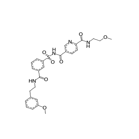 COCCNC(=O)c1ccc(C(=O)NS(=O)(=O)c2cccc(C(=O)NCCc3cccc(OC)c3)c2)cn1